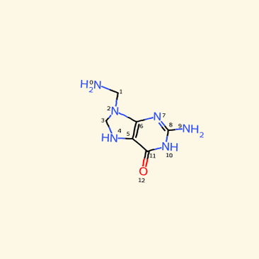 NCN1CNc2c1nc(N)[nH]c2=O